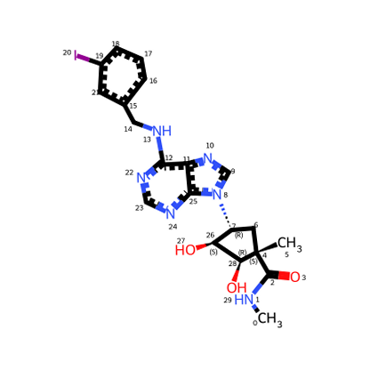 CNC(=O)[C@@]1(C)C[C@@H](n2cnc3c(NCc4cccc(I)c4)ncnc32)[C@H](O)[C@@H]1O